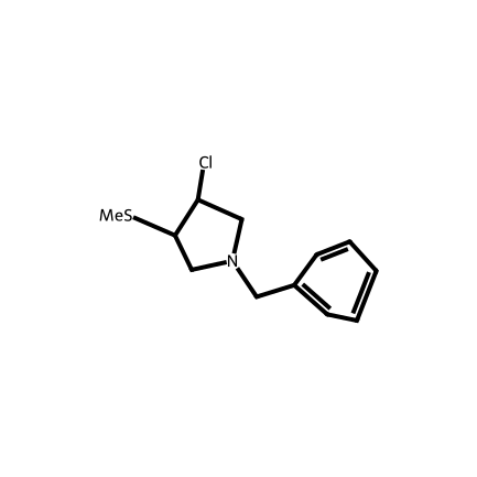 CSC1CN(Cc2ccccc2)CC1Cl